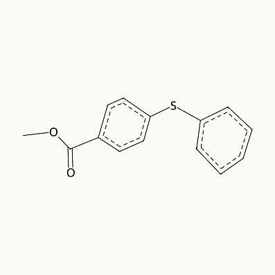 COC(=O)c1ccc(Sc2ccccc2)cc1